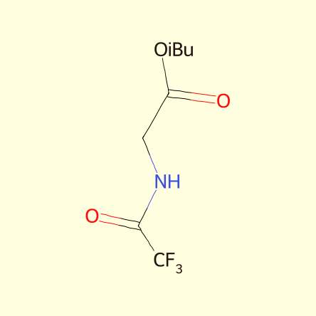 CC(C)[CH]OC(=O)CNC(=O)C(F)(F)F